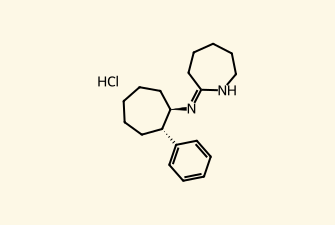 Cl.c1ccc([C@@H]2CCCCC[C@H]2N=C2CCCCCN2)cc1